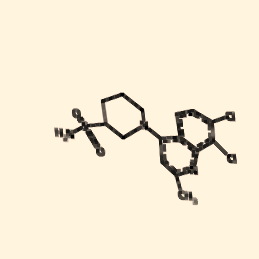 Cc1cc(N2CCCC(S(N)(=O)=O)C2)c2ccc(Cl)c(Cl)c2n1